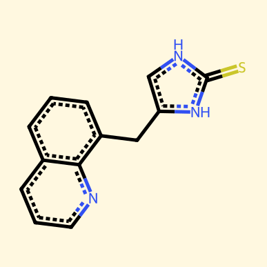 S=c1[nH]cc(Cc2cccc3cccnc23)[nH]1